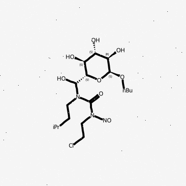 CCCCO[C@H]1O[C@H](C(O)N(CCC(C)C)C(=O)N(CCCl)N=O)[C@@H](O)[C@H](O)[C@H]1O